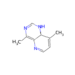 CC1=CC=NC2=C(C)N=CNC12